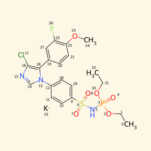 CCOP(=O)(NS(=O)(=O)c1ccc(-n2cnc(Cl)c2-c2ccc(OC)c(F)c2)cc1)OCC.[K]